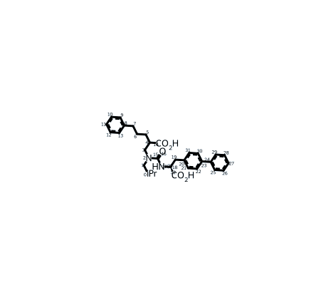 CC(C)CN(CC(CCCc1ccccc1)C(=O)O)C(=O)N[C@@H](Cc1ccc(-c2ccccc2)cc1)C(=O)O